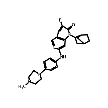 CN1CCN(c2ccc(Nc3cc4c(cn3)cc(F)c(=O)n4C3CC4CCC3C4)cc2)CC1